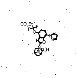 CCOC(=O)C(F)(F)Oc1ccc(-n2cccn2)c2oc(N3CC4CC(C3)N4C(=O)O)nc12